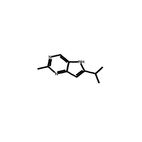 Cc1ncc2[nH]c(C(C)C)cc2n1